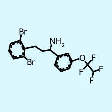 N[C@H](CCc1c(Br)cccc1Br)c1cccc(OC(F)(F)C(F)F)c1